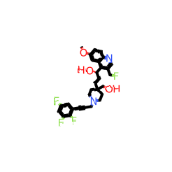 COc1ccc2ncc(CF)c([C@H](O)CCC3(CO)CCN(CC#Cc4cc(F)cc(F)c4F)CC3)c2c1